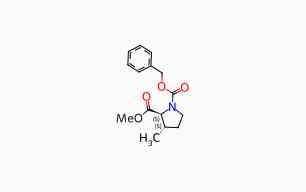 COC(=O)[C@@H]1[C@@H](C)CCN1C(=O)OCc1ccccc1